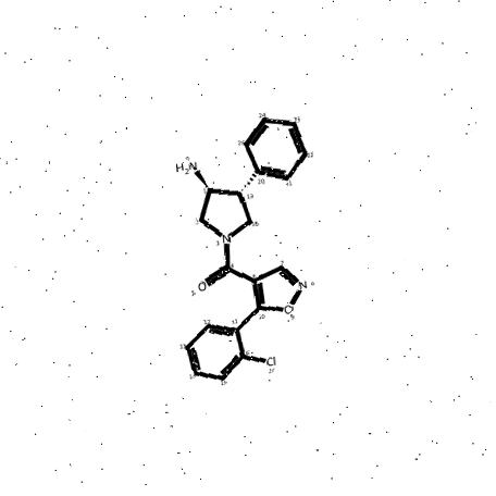 N[C@@H]1CN(C(=O)c2cnoc2-c2ccccc2Cl)C[C@H]1c1ccccc1